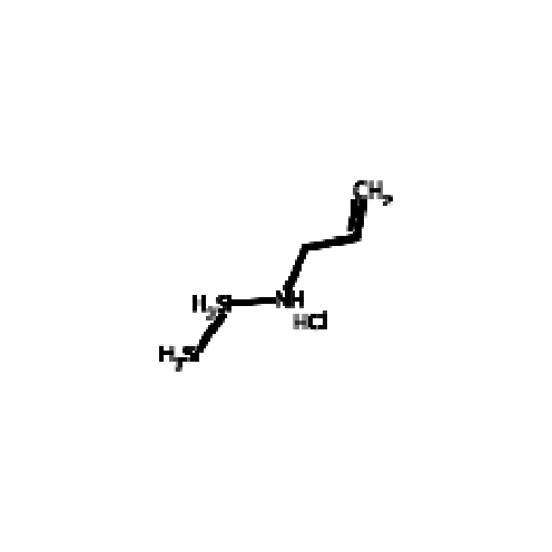 C=CCN[SiH2][SiH3].Cl